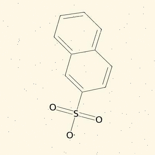 [O]S(=O)(=O)c1ccc2ccccc2c1